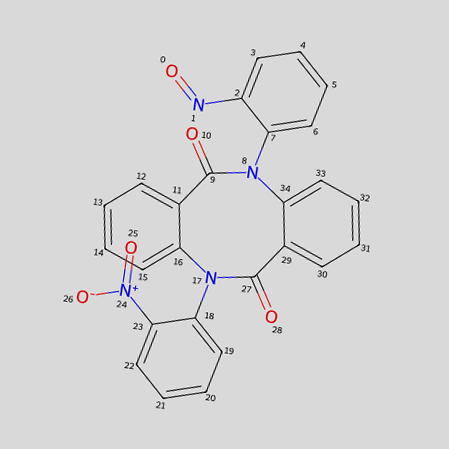 O=Nc1ccccc1N1C(=O)c2ccccc2N(c2ccccc2[N+](=O)[O-])C(=O)c2ccccc21